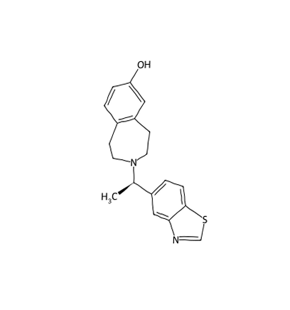 C[C@H](c1ccc2scnc2c1)N1CCc2ccc(O)cc2CC1